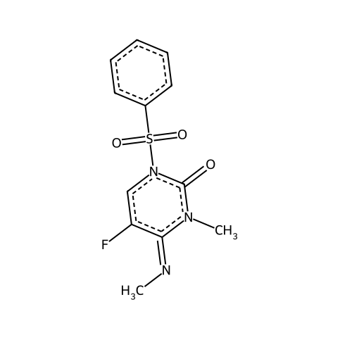 C/N=c1\c(F)cn(S(=O)(=O)c2ccccc2)c(=O)n1C